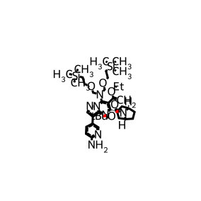 C=C(OCC)c1c([C@@H]2C[C@H]3CC[C@@H](C2)N3C(=O)OC(C)(C)C)nc2c(-c3ccc(N)nc3)cnn2c1N(COCC[Si](C)(C)C)COCC[Si](C)(C)C